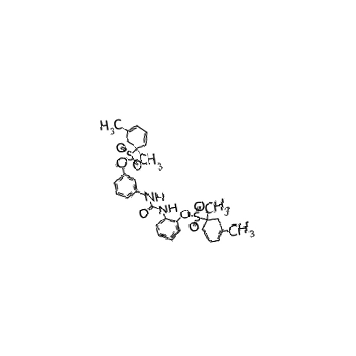 CC1=CC=CC(C)(S(=O)(=O)Oc2cccc(NC(=O)Nc3ccccc3OS(=O)(=O)C3(C)C=CC=C(C)C3)c2)C1